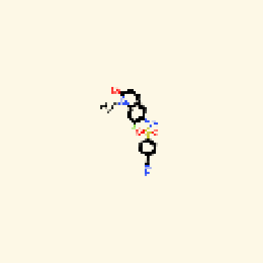 Cn1c(=O)ccc2cc(NS(=O)(=O)c3ccc(C#N)cc3)c(F)cc21